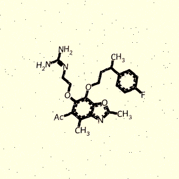 CC(=O)c1c(OCCN=C(N)N)c(OCCC(C)c2ccc(F)cc2)c2oc(C)nc2c1C